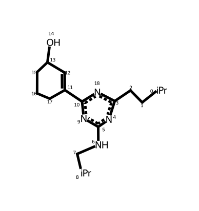 CC(C)CCc1nc(NCC(C)C)nc(C2=CC(O)CCC2)n1